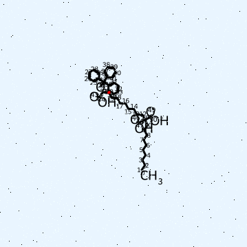 CCCCCCCCCCCC(CCCCCCCCCC(OC(c1ccccc1)(c1ccccc1)c1ccccc1)C(=O)O)(C(=O)O)C(=O)O